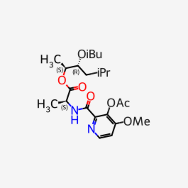 COc1ccnc(C(=O)N[C@@H](C)C(=O)O[C@@H](C)[C@@H](CC(C)C)OCC(C)C)c1OC(C)=O